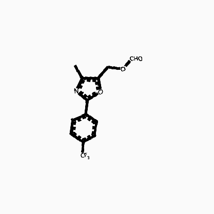 Cc1nc(-c2ccc(C(F)(F)F)cc2)oc1COC=O